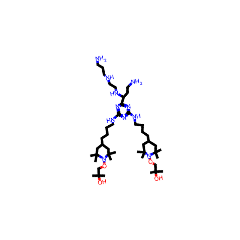 CC(C)(O)CON1C(C)(C)CC(CCCCNc2nc(NCCCCC3CC(C)(C)N(OCC(C)(C)O)C(C)(C)C3)nc(C(CCN)NCCNCCCN)n2)CC1(C)C